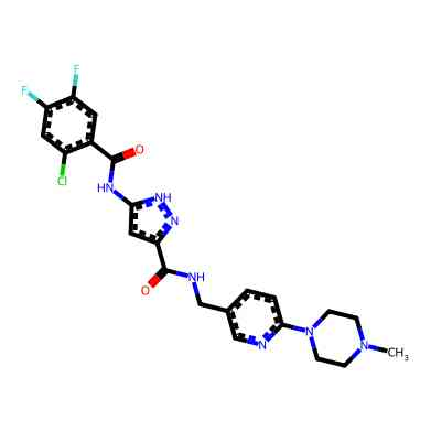 CN1CCN(c2ccc(CNC(=O)c3cc(NC(=O)c4cc(F)c(F)cc4Cl)[nH]n3)cn2)CC1